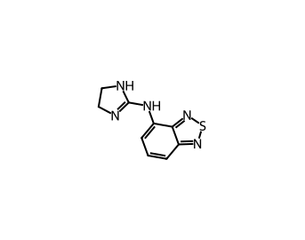 c1cc(NC2=NCCN2)c2nsnc2c1